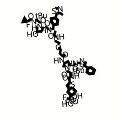 Cc1ncsc1-c1ccc([C@H](CC(=O)NCCOCCC(=O)N[C@@H]2C[C@@H](C(=O)Nc3ncc(-c4ccccc4)s3)N(C(=O)[C@@H](NC(=O)c3cc4cc(C(F)(F)P(=O)(O)O)ccc4s3)C(C)(C)C)C2)NC(=O)[C@@H]2C[C@@H](O)CN2C(=O)[C@@H](NC(=O)C2(F)CC2)C(C)(C)C)cc1